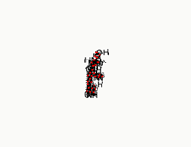 C[C@]1(O)CC[C@H](CNc2ncc(S(=O)(=O)NC(=O)c3ccc(N4CCC5(CC4)CC(N4CCS(=N)(=O)C[C@H]4c4ccccc4C4CC4)C5)cc3Oc3cnc4[nH]ccc4c3)cc2[N+](=O)[O-])CC1